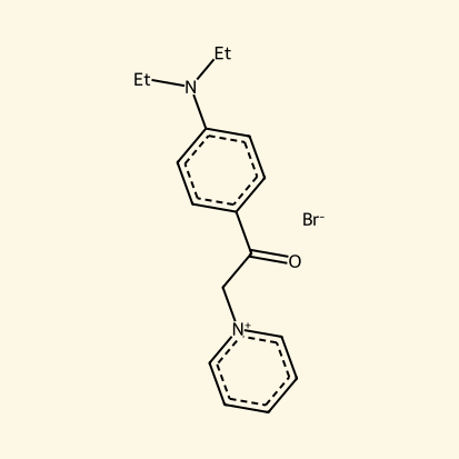 CCN(CC)c1ccc(C(=O)C[n+]2ccccc2)cc1.[Br-]